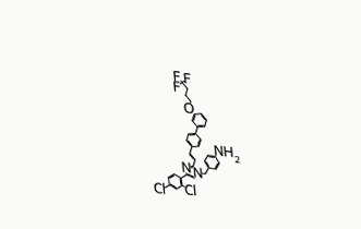 Nc1ccc(Cn2cc(-c3ccc(Cl)cc3Cl)nc2C=Cc2ccc(-c3cccc(OCCCC(F)(F)F)c3)cc2)cc1